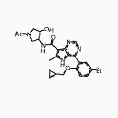 CCc1ccc(OCC2CC2)c(-c2ncnc3c(C(=O)NC4CN(C(C)=O)CC4O)c(C)[nH]c23)c1